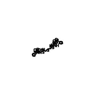 CC1([C@@H]2COC(=O)N2CC(=O)Nc2nnc(CCSCCc3nnc(NC(=O)CN4C(=O)OC[C@H]4c4ccccc4)s3)s2)C=CC=CC1